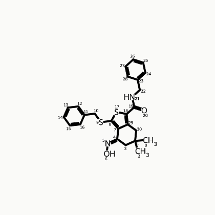 CC1(C)CC(=NO)c2c(SCc3ccccc3)sc(C(=O)NCc3ccccc3)c2C1